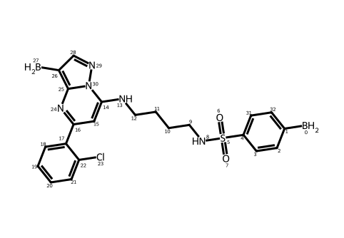 Bc1ccc(S(=O)(=O)NCCCCNc2cc(-c3ccccc3Cl)nc3c(B)cnn23)cc1